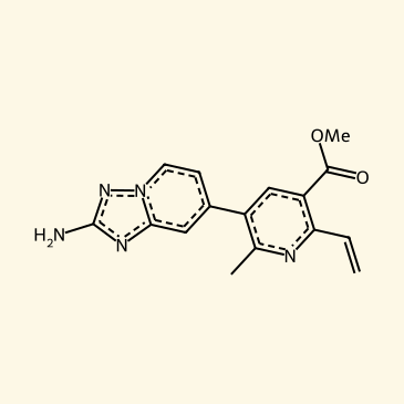 C=Cc1nc(C)c(-c2ccn3nc(N)nc3c2)cc1C(=O)OC